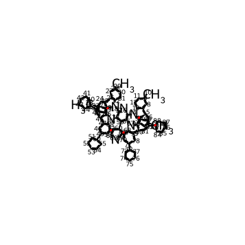 Cc1ccc2c(c1)c1cc(C)ccc1n2-c1nc(-n2c3ccc(C)cc3c3cc(C)ccc32)c(-n2c3ccc(-c4ccccc4)cc3c3cc(-c4ccccc4)ccc32)c(-c2ccncc2)c1-n1c2ccc(-c3ccccc3)cc2c2cc(-c3ccccc3)ccc21